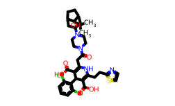 CC(C)C1(O)C2CCC1CC(N1CCN(C(=O)CC3=C(C(=O)O)C(c4c(Cl)cccc4Cl)C(C(=O)O)=C(CCc4nccs4)N3)CC1)C2